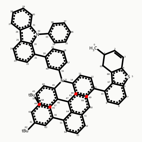 CC1C=Cc2sc3cccc(-c4ccc(N(c5cccc(-c6cccc7c8ccccc8n(-c8ccccc8)c67)c5)c5ccccc5-c5cccc6cccc(-c7cc(C(C)(C)C)cc(C(C)(C)C)c7)c56)cc4)c3c2C1